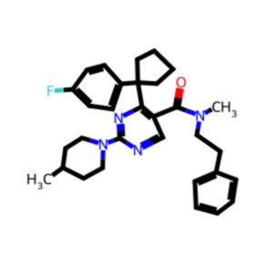 CC1CCN(c2ncc(C(=O)N(C)CCc3ccccc3)c(C3(c4ccc(F)cc4)CCCC3)n2)CC1